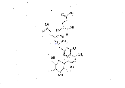 C/C(Cc1cc(=O)c2c(C)cc(O)c(C3OC(CO)C(O)C(O)C3O)c2o1)=N\C(CCC(=O)O)C(=O)NC(CCC(=O)O)C(=O)O